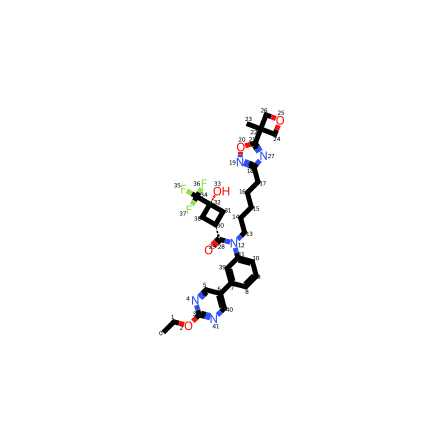 CCOc1ncc(-c2cccc(N(CCCCCc3noc(C4(C)COC4)n3)C(=O)[C@H]3C[C@](O)(C(F)(F)F)C3)c2)cn1